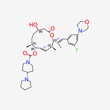 C/C(=C\c1cc(F)cc(N2CCOCC2)c1)[C@H]1OC(=O)C[C@H](O)CC[C@H](C)[C@@H](OC(=O)N2CCC(N3CCCCC3)CC2)/C=C/[C@@H]1C